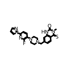 Cn1c(=O)[nH]c2cc(CN3CCN(c4ccc(-n5cccn5)nc4F)CC3)ccc2c1=S